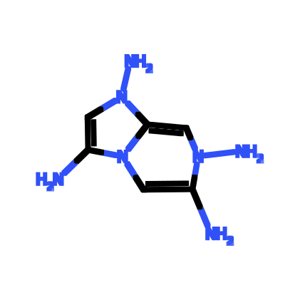 NC1=CN2C(N)=CN(N)C2=CN1N